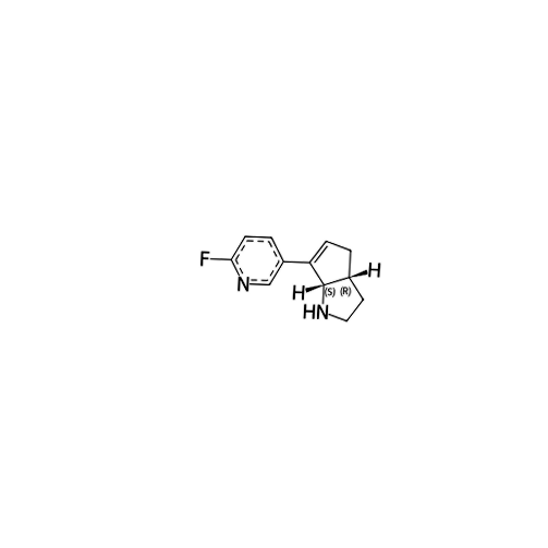 Fc1ccc(C2=CC[C@@H]3CCN[C@H]23)cn1